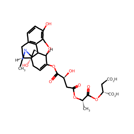 C[C@H](OC(=O)C[C@H](O)C(=O)OC1=CC[C@@]2(O)[C@H]3Cc4ccc(O)c5c4[C@@]2(CCN3C)[C@H]1O5)C(=O)O[C@H](CC(=O)O)C(=O)O